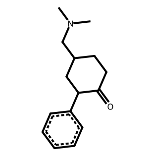 CN(C)CC1CCC(=O)C(c2ccccc2)C1